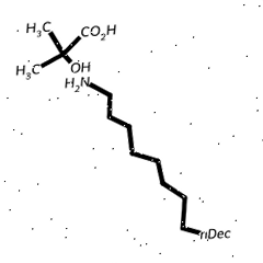 CC(C)(O)C(=O)O.CCCCCCCCCCCCCCCCCCN